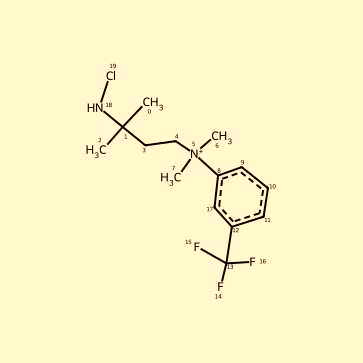 CC(C)(CC[N+](C)(C)c1cccc(C(F)(F)F)c1)NCl